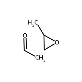 CC1CO1.CC=O